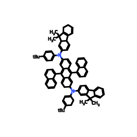 CC(C)(C)C1=CC=C(N(c2ccc3c(c2)C(C)(C)c2ccccc2-3)C2C=c3c(-c4cccc5ccccc45)c4ccc(N(C5=CC6C(C=C5)C5=C(CCC=C5)C6(C)C)c5ccc(C(C)(C)C)cc5)cc4c(-c4cccc5ccccc45)c3=CC2)CC1